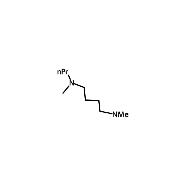 CCCN(C)CCCCNC